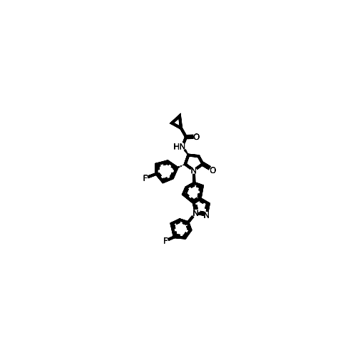 O=C(N[C@H]1CC(=O)N(c2ccc3c(cnn3-c3ccc(F)cc3)c2)[C@@H]1c1ccc(F)cc1)C1CC1